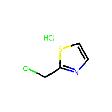 Cl.ClCc1nccs1